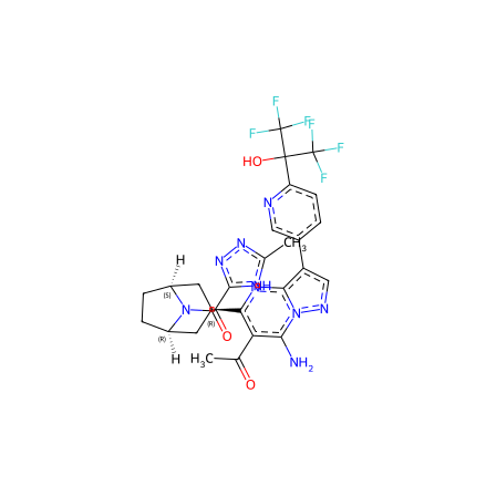 CC(=O)c1c([C@H]2C[C@H]3CC[C@@H](C2)N3C(=O)c2nnc(C)[nH]2)nc2c(-c3ccc(C(O)(C(F)(F)F)C(F)(F)F)nc3)cnn2c1N